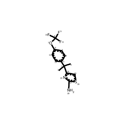 CC(C)(c1ccc(OC(F)(F)F)cc1)c1csc(N)n1